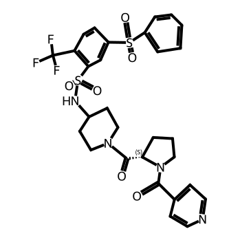 O=C([C@@H]1CCCN1C(=O)c1ccncc1)N1CCC(NS(=O)(=O)c2cc(S(=O)(=O)c3ccccc3)ccc2C(F)(F)F)CC1